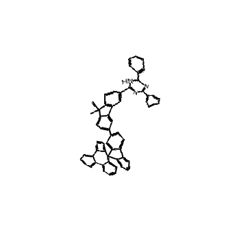 CC1(C)c2ccc(C3=NC(c4ccccc4)=NC(c4ccccc4)N3)cc2-c2cc(-c3ccc4c(c3)C3(c5ccccc5-c5ccccc5-c5ccccc53)c3ccccc3-4)ccc21